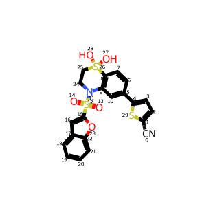 N#Cc1ccc(-c2ccc3c(c2)N(S(=O)(=O)c2cc4ccccc4o2)CCS3(O)O)s1